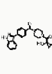 O=C(c1ccc(-c2n[nH]c3ccccc23)cc1)N1CCN(C(=O)C2(O)CC2)CC1